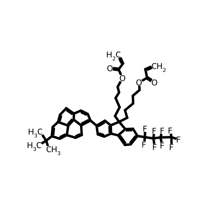 C=CC(=O)OCCCCCC1(CCCCCOC(=O)C=C)c2cc(-c3ccc4ccc5cc(C(C)(C)C)cc6ccc3c4c56)ccc2-c2ccc(C(F)(F)C(F)(F)C(F)(F)C(F)(F)F)cc21